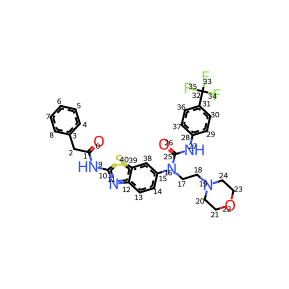 O=C(Cc1ccccc1)Nc1nc2ccc(N(CCN3CCOCC3)C(=O)Nc3ccc(C(F)(F)F)cc3)cc2s1